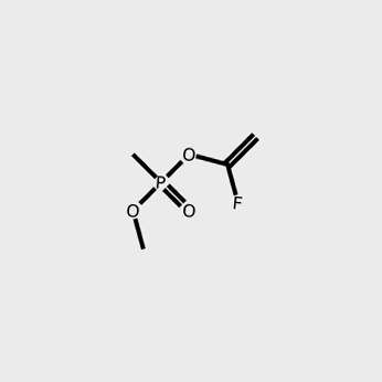 C=C(F)OP(C)(=O)OC